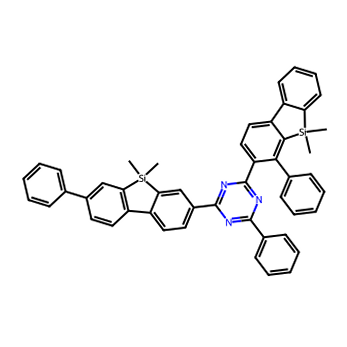 C[Si]1(C)c2cc(-c3ccccc3)ccc2-c2ccc(-c3nc(-c4ccccc4)nc(-c4ccc5c(c4-c4ccccc4)[Si](C)(C)c4ccccc4-5)n3)cc21